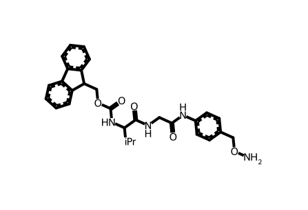 CC(C)C(NC(=O)OCC1c2ccccc2-c2ccccc21)C(=O)NCC(=O)Nc1ccc(CON)cc1